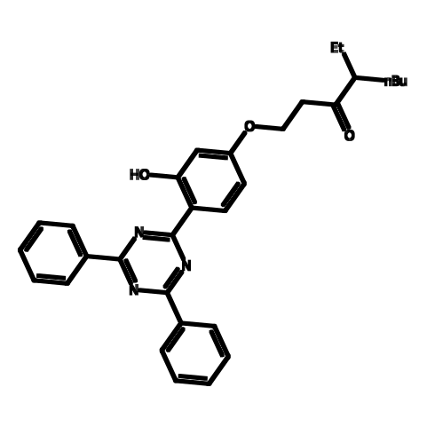 CCCCC(CC)C(=O)CCOc1ccc(-c2nc(-c3ccccc3)nc(-c3ccccc3)n2)c(O)c1